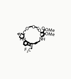 COC(=O)c1c(OC)cc2cc1OCCOCCOCCC1CN(C)CCC1Nc1cccc3c1cc(n3CC(F)(F)F)C#CCN2